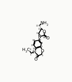 CCN1C(=O)COc2cc(N3C[C@H](CN)OC3=O)ccc21